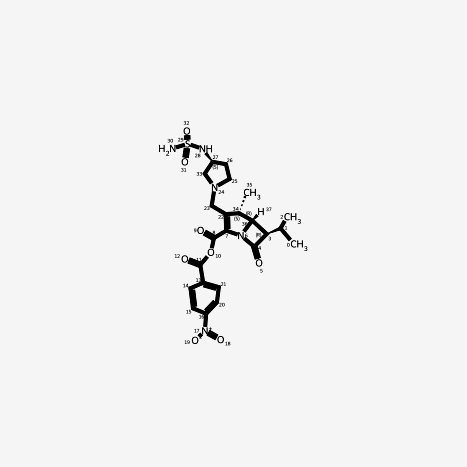 CC(C)[C@H]1C(=O)N2C(C(=O)OC(=O)c3ccc([N+](=O)[O-])cc3)=C(CN3CC[C@H](NS(N)(=O)=O)C3)[C@H](C)[C@H]12